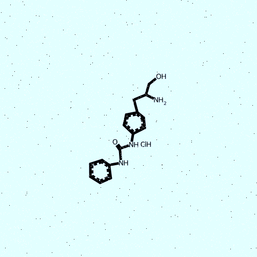 Cl.NC(CO)Cc1ccc(NC(=O)Nc2ccccc2)cc1